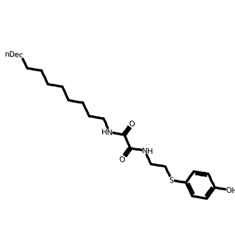 CCCCCCCCCCCCCCCCCCNC(=O)C(=O)NCCSc1ccc(O)cc1